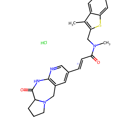 Cc1c(CN(C)C(=O)/C=C/c2cnc3c(c2)CN2CCCC2C(=O)N3)sc2ccccc12.Cl